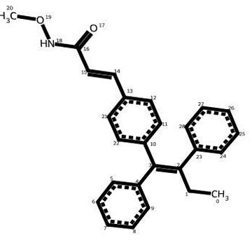 CC/C(=C(\c1ccccc1)c1ccc(/C=C/C(=O)NOC)cc1)c1ccccc1